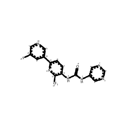 O=C(Nc1cncnc1)Nc1ccc(-c2cncc(F)c2)nc1C(F)(F)F